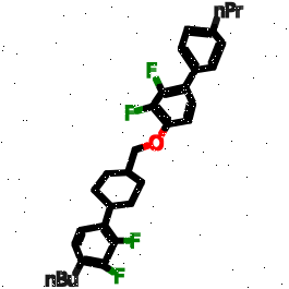 CCCCc1ccc(C2CCC(COc3ccc(-c4ccc(CCC)cc4)c(F)c3F)CC2)c(F)c1F